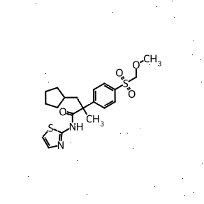 COCS(=O)(=O)c1ccc(C(C)(CC2CCCC2)C(=O)Nc2nccs2)cc1